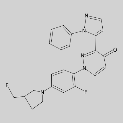 O=c1ccn(-c2ccc(N3CCC(CF)C3)cc2F)nc1-c1ccnn1-c1ccccc1